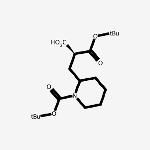 CC(C)(C)OC(=O)[C@@H](CC1CCCCN1C(=O)OC(C)(C)C)C(=O)O